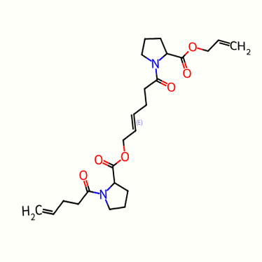 C=CCCC(=O)N1CCCC1C(=O)OC/C=C/CCC(=O)N1CCCC1C(=O)OCC=C